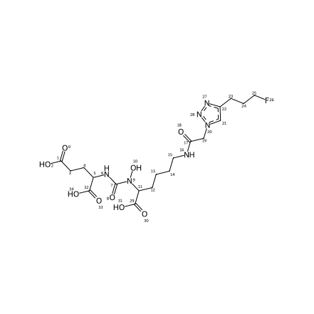 O=C(O)CCC(NC(=O)N(O)C(CCCCNC(=O)Cn1cc(CCCF)nn1)C(=O)O)C(=O)O